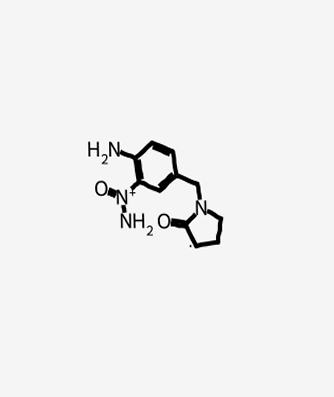 Nc1ccc(CN2CC[CH]C2=O)cc1[N+](N)=O